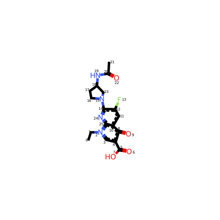 CCn1cc(C(=O)O)c(=O)c2cc(F)c(N3CCC(NC(C)=O)C3)nc21